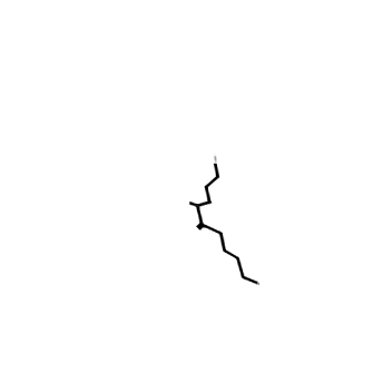 CC(C)CCCCC(=O)C(CCCC(C)C)C(=O)O